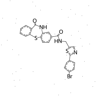 O=C(NCc1cnc(-c2ccc(Br)cc2)s1)c1ccc2c(c1)NC(=O)c1ccccc1S2